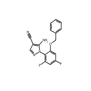 N#Cc1cnn(-c2c(F)cc(F)cc2OCc2ccccc2)c1N